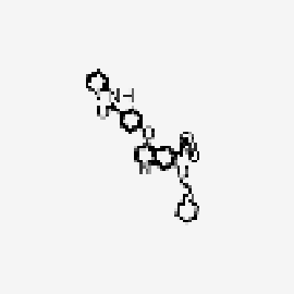 O=C(Nc1ccccn1)c1ccc(Oc2ccnc3cc(OCCN4CCCCC4)c([N+](=O)[O-])cc23)cc1